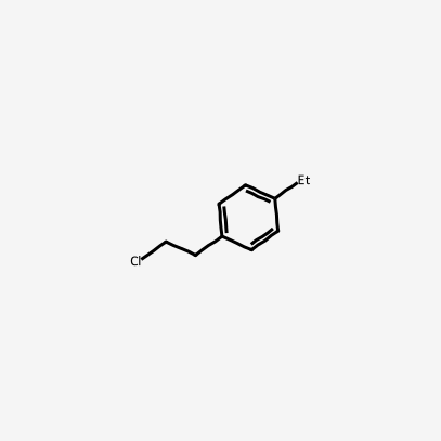 [CH2]Cc1ccc(CCCl)cc1